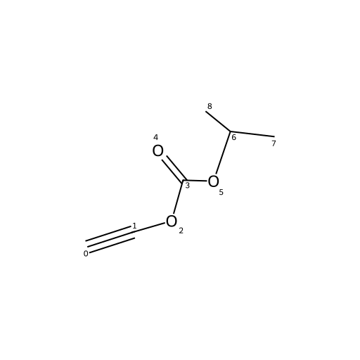 C#COC(=O)OC(C)C